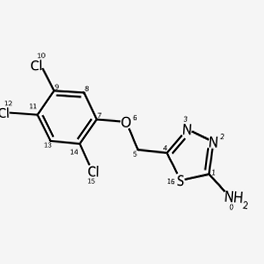 Nc1nnc(COc2cc(Cl)c(Cl)cc2Cl)s1